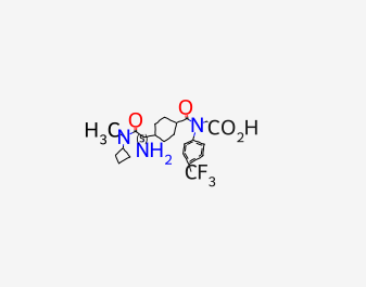 CN(C(=O)[C@@H](N)C1CCC(C(=O)N(CC(=O)O)c2ccc(C(F)(F)F)cc2)CC1)C1CCC1